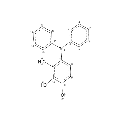 Cc1c(N(c2ccccc2)c2ccccc2)ccc(O)c1O